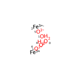 O.O.[Fe+3].[Fe+3].[O-2].[O-2].[O-2]